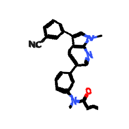 C=CC(=O)N(C)c1cccc(-c2cnc3c(c2)c(-c2cccc(C#N)c2)cn3C)c1